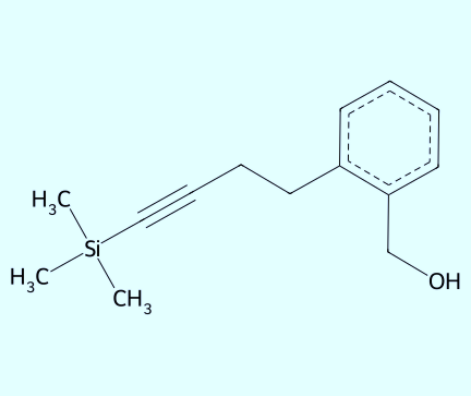 C[Si](C)(C)C#CCCc1ccccc1CO